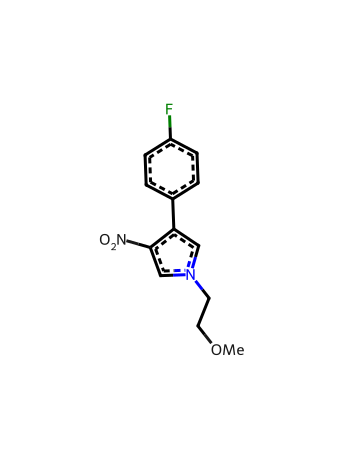 COCCn1cc(-c2ccc(F)cc2)c([N+](=O)[O-])c1